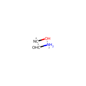 N#CO.NC=O